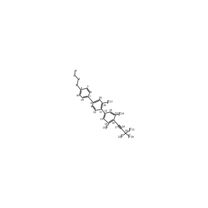 CCCCc1ccc(-c2ccc(-c3cc(F)c(C#CC(F)(F)F)c(F)c3)c(F)c2)cc1